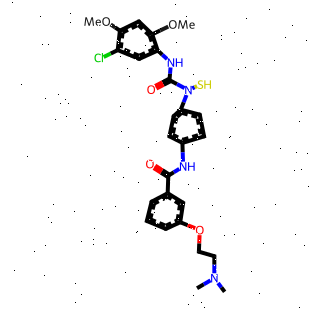 COc1cc(OC)c(NC(=O)N(S)c2ccc(NC(=O)c3cccc(OCCN(C)C)c3)cc2)cc1Cl